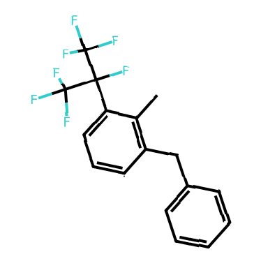 Cc1c(Cc2ccccc2)[c]ccc1C(F)(C(F)(F)F)C(F)(F)F